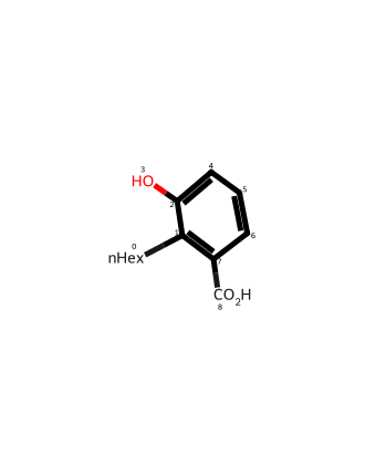 CCCCCCc1c(O)cccc1C(=O)O